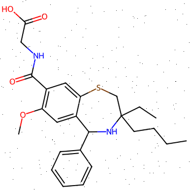 CCCCC1(CC)CSc2cc(C(=O)NCC(=O)O)c(OC)cc2C(c2ccccc2)N1